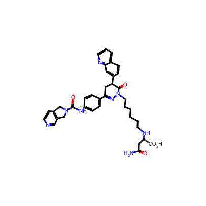 NC(=O)CC(NCCCCCCN1N=C(c2ccc(NC(=O)N3Cc4ccncc4C3)cc2)CC(c2ccc3cccnc3c2)C1=O)C(=O)O